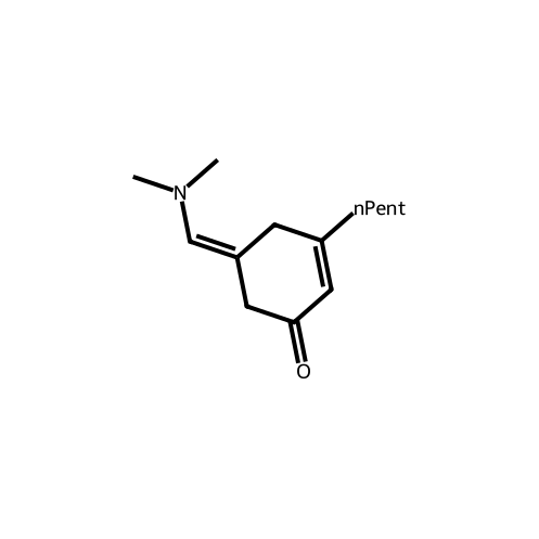 CCCCCC1=CC(=O)CC(=CN(C)C)C1